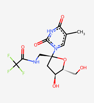 Cc1cn([C@@]2(CNC(=O)C(F)(F)F)C[C@H](O)[C@@H](CO)O2)c(=O)[nH]c1=O